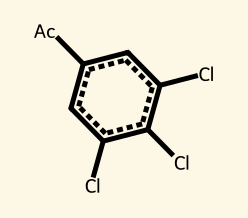 [CH2]C(=O)c1cc(Cl)c(Cl)c(Cl)c1